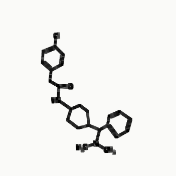 CN(C)C(c1ccccc1)C1CCC(NC(=O)Cc2ccc(Cl)cc2)CC1